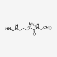 N=CNCCC[C@H](N)C(=O)NCC=O